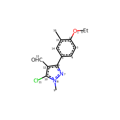 CCOc1ccc(-c2nn(C)c(Cl)c2C=O)cc1C